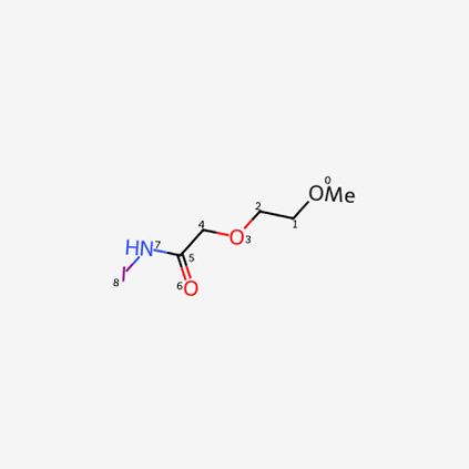 COCCOCC(=O)NI